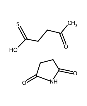 CC(=O)CCC(O)=S.O=C1CCC(=O)N1